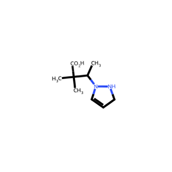 CC(N1C=CCN1)C(C)(C)C(=O)O